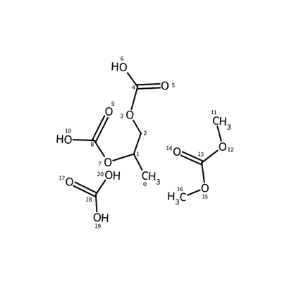 CC(COC(=O)O)OC(=O)O.COC(=O)OC.O=C(O)O